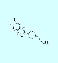 CCCC1CCC(C(=O)Oc2cc(F)c(F)nc2F)CC1